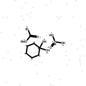 CCC(=O)OC.O=[PH](O)O.OC1(O)CCCCC1